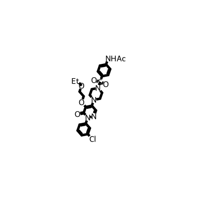 CCOCCOc1c(N2CCN(S(=O)(=O)c3ccc(NC(C)=O)cc3)CC2)cnn(-c2cccc(Cl)c2)c1=O